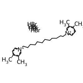 Br.Br.Br.Br.Cc1cc[n+](CCCCCCCCCCCC[n+]2ccc(C)c(C)c2)cc1C